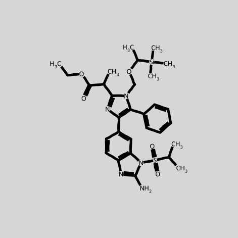 CCOC(=O)C(C)c1nc(-c2ccc3nc(N)n(S(=O)(=O)C(C)C)c3c2)c(-c2ccccc2)n1COC(C)[Si](C)(C)C